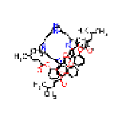 CC(C)C=CC(=O)Oc1ccccc1-c1c(-c2ccccc2OC(=O)C=CC(C)C)c2c(-c3ccccc3OC(=O)C=CC(C)C)c3nc(cc4ccc(cc5nc(cc1n2-c1ccccc1OC(=O)C=CC(C)C)C=C5)[nH]4)C=C3